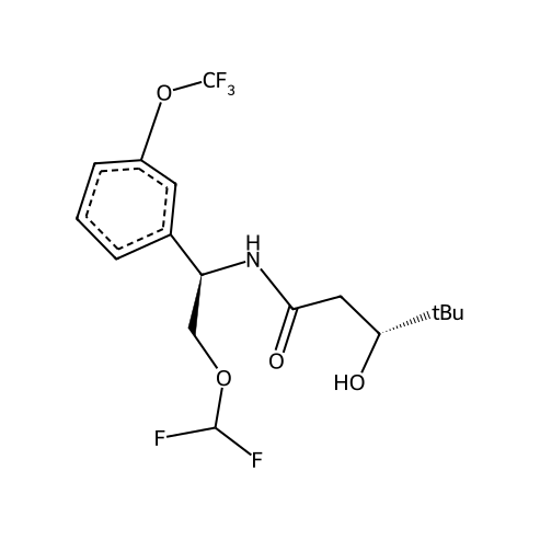 CC(C)(C)[C@H](O)CC(=O)N[C@@H](COC(F)F)c1cccc(OC(F)(F)F)c1